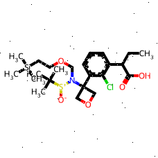 CCC(C(=O)O)c1cccc(C2(N(COCC[Si](C)(C)C)[S+]([O-])C(C)(C)C)COC2)c1Cl